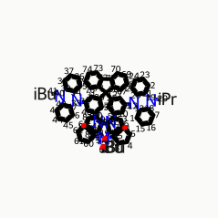 CCC(C)N1c2ccccc2N(c2cc(N3c4ccccc4N(C(C)C)c4ccccc43)cc(C3(c4cc(N5c6ccccc6N(C(C)CC)c6ccccc65)cc(N5c6ccccc6N(C(C)CC)c6ccccc65)c4)c4ccccc4-c4ccccc43)c2)c2ccccc21